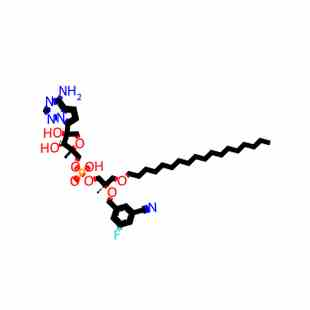 CCCCCCCCCCCCCCCCCCOC[C@](C)(COP(=O)(O)OC[C@@]1(C)OCC(O)(c2ccc3c(N)ncnn23)[C@@H]1O)OCc1cc(F)cc(C#N)c1